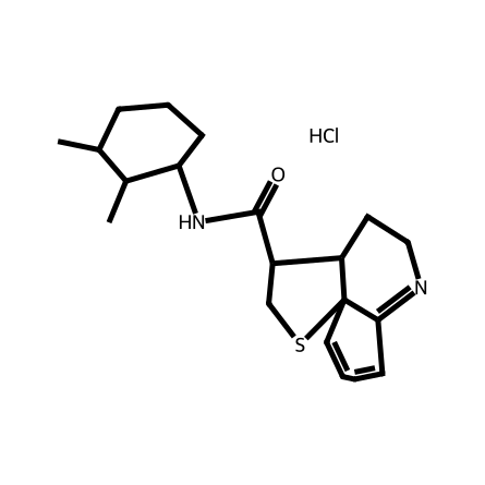 CC1CCCC(NC(=O)C2CSC34C=CC=CC3=NCCC24)C1C.Cl